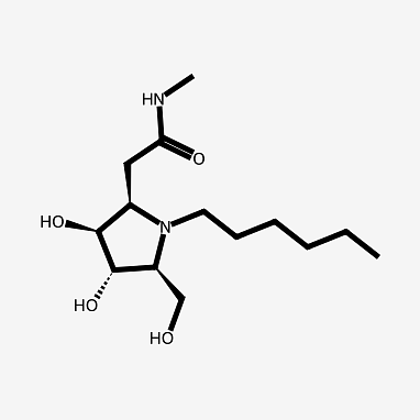 CCCCCCN1[C@H](CC(=O)NC)[C@H](O)[C@@H](O)[C@@H]1CO